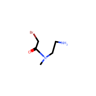 CN(CCN)C(=O)CBr